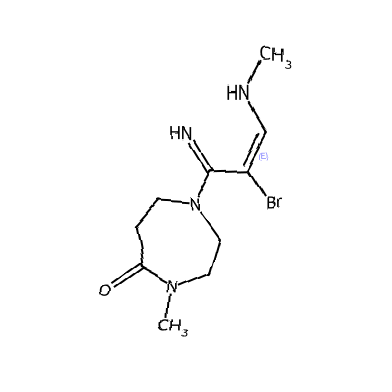 CN/C=C(/Br)C(=N)N1CCC(=O)N(C)CC1